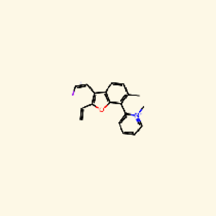 C=Cc1oc2c(-c3cccc[n+]3C)c(C)ccc2c1/C=C\I